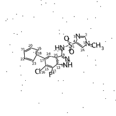 Cn1cnc(S(=O)(=O)Nc2n[nH]c3c(F)c(Cl)c(-c4ccccc4)cc23)c1